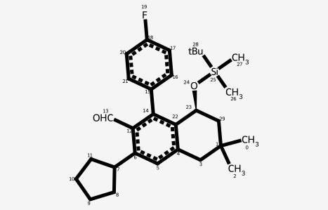 CC1(C)Cc2cc(C3CCCC3)c(C=O)c(-c3ccc(F)cc3)c2[C@@H](O[Si](C)(C)C(C)(C)C)C1